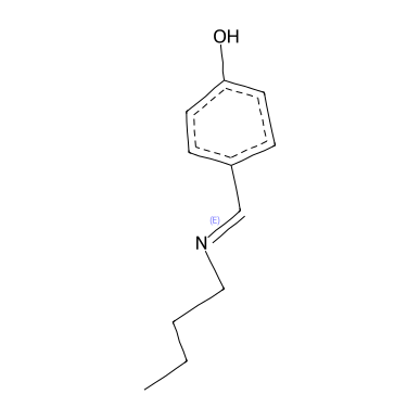 CCCC/N=C/c1ccc(O)cc1